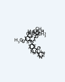 COc1cc(OC)c(F)c(N(CCO[Si](C)(C)C(C)(C)C)c2ccc3ncn(-c4cncnc4)c(=O)c3c2)c1